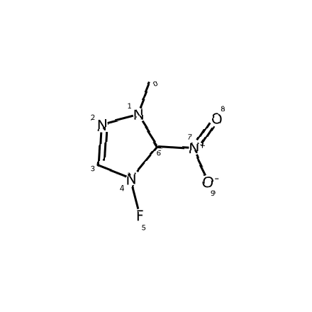 CN1N=CN(F)C1[N+](=O)[O-]